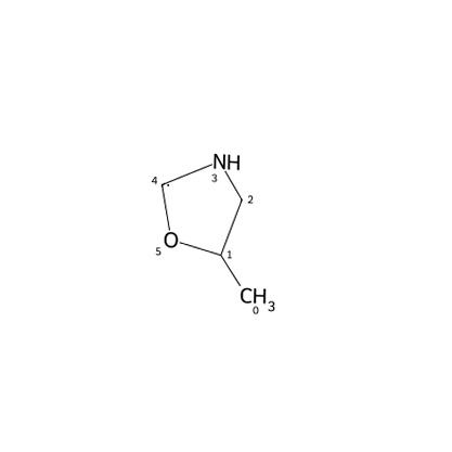 CC1CN[CH]O1